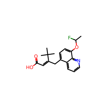 CC(F)Oc1ccc(C/C(=C/C(=O)O)C(C)(C)C)c2cccnc12